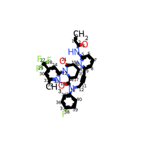 C=CC(=O)Nc1cccc(C#CCN(C(=O)[C@@H]2CCCC(=O)N2c2cc(C(F)(F)F)cc(C)n2)c2ccc(F)cc2)n1